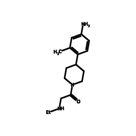 CCNCC(=O)N1CCC(c2ccc(N)cc2C)CC1